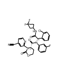 N#Cc1ccnc(N2C(=O)OCC[C@H]2C(=O)N(c2cccc(F)c2)[C@H](C(=O)NC2CC(F)(F)C2)c2ccccc2Cl)c1